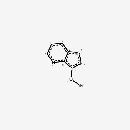 CC(C)On1nnc2cccnc21